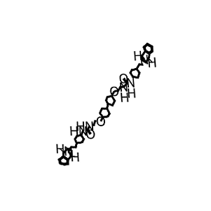 O=C(NCCOC1CCC(C2CCC(OCCNC(=O)NC3CCC(CCN4[C@@H]5CC[C@H]4c4ccccc45)CC3)CC2)CC1)NC1CCC(CCN2[C@@H]3CC[C@H]2c2ccccc23)CC1